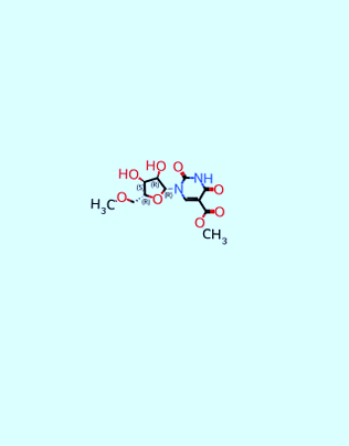 COC[C@H]1O[C@@H](n2cc(C(=O)OC)c(=O)[nH]c2=O)[C@H](O)[C@@H]1O